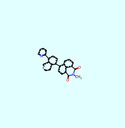 CN1C(=O)c2cccc3c(-c4ccc(-c5ccccn5)c5ccccc45)ccc(c23)C1=O